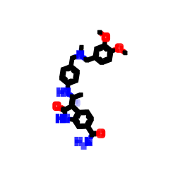 COc1ccc(CN(C)Cc2ccc(N/C(C)=C3\C(=O)Nc4cc(C(N)=O)ccc43)cc2)cc1OC